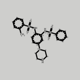 Cc1ccccc1S(=O)(=O)Nc1ccc(N2CCNCC2)cc1NS(=O)(=O)c1ccccc1